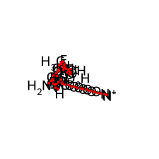 CC[C@@]1(O)C(=O)OCc2c1cc1n(c2=O)Cc2c-1nc1cc(F)c(C)c3c1c2[C@@H](NC(=O)OCc1ccc(NC(=O)[C@H](CCCCN)NC(=O)[C@H](Cc2ccccc2)NC(=O)C(CCC(=O)O)NC(=O)CCOCCOCCOCCOCCOCCOCCOCCOCCCCCN=[N+]=[N-])cc1)CC3